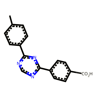 Cc1ccc(-c2ncnc(-c3ccc(C(=O)O)cc3)n2)cc1